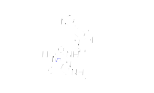 Nc1nc(/C(=N/O)C(=O)NC2C(=O)N3C(C(=O)O)=C(Sc4cccnc4)CCC23)c(Cl)s1